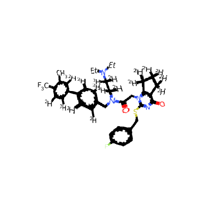 [2H]c1c([2H])c(-c2c([2H])c([2H])c(C(F)(F)F)c(C)c2[2H])c([2H])c([2H])c1CN(C(=O)Cn1c(SCc2ccc(F)cc2)nc(=O)c2c1C([2H])([2H])C([2H])([2H])C2([2H])[2H])C([2H])([2H])C([2H])([2H])N(CC)CC